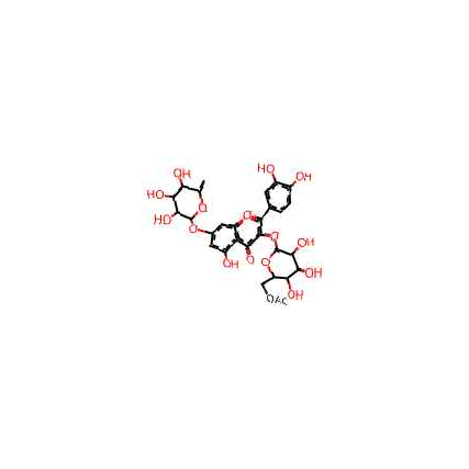 CC(=O)OCC1OC(Oc2c(-c3ccc(O)c(O)c3)oc3cc(OC4OC(C)C(O)C(O)C4O)cc(O)c3c2=O)C(O)C(O)C1O